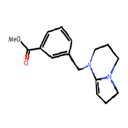 COC(=O)c1cccc(CN2CCCN3CCC=C32)c1